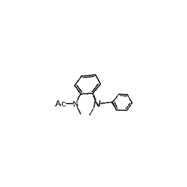 CC(=O)N(C)c1ccccc1N(C)c1ccccc1